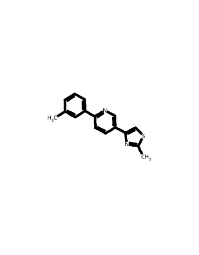 Cc1cccc(-c2ccc(-c3csc(C)n3)cn2)c1